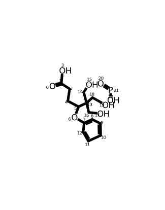 O=C(O)CCC(Oc1ccccc1)C(CO)(CO)CO.O=PO